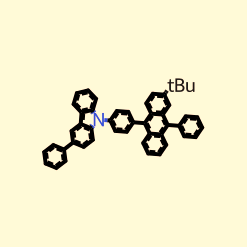 CC(C)(C)c1ccc2c(-c3ccc(-n4c5ccccc5c5cc(-c6ccccc6)ccc54)cc3)c3ccccc3c(-c3ccccc3)c2c1